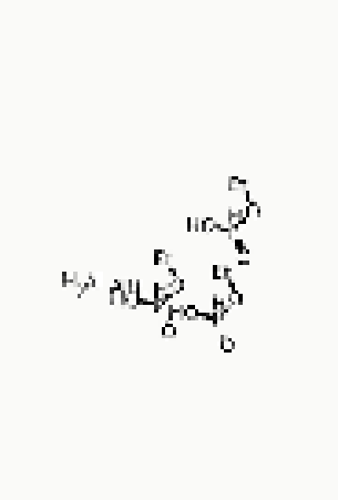 CCO[PH](=O)O.CCO[PH](=O)O.CCO[PH](=O)O.[AlH3].[AlH3]